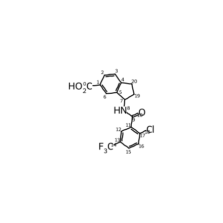 O=C(O)c1ccc2c(c1)C(NC(=O)c1cc(C(F)(F)F)ccc1Cl)CC2